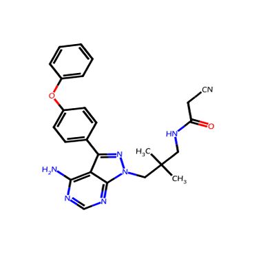 CC(C)(CNC(=O)CC#N)Cn1nc(-c2ccc(Oc3ccccc3)cc2)c2c(N)ncnc21